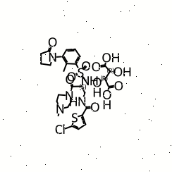 Cc1c(N2CCCC2=O)cccc1S(=O)(=O)N[C@@H](CNC(=O)c1ccc(Cl)s1)C(=O)N1CCN(C)CC1.O=C(O)[C@H](O)[C@@H](O)C(=O)O